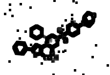 O=C(O)c1sc(-c2ccccc2)cc1N1C(=O)CN(S(=O)(=O)c2ccc(N3CC4CC3CO4)nc2)C[C@H]1C1CCCCC1